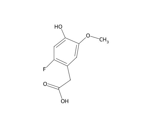 COc1cc(CC(=O)O)c(F)cc1O